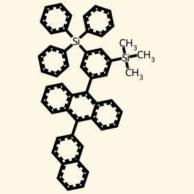 C[Si](C)(C)c1cc(-c2c3ccccc3c(-c3ccc4ccccc4c3)c3ccccc23)cc([Si](c2ccccc2)(c2ccccc2)c2ccccc2)c1